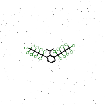 C[C](C)c1c(C(Cl)(Cl)C(Cl)(Cl)C(Cl)(Cl)C(Cl)(Cl)Cl)cccc1C(Cl)(Cl)C(Cl)(Cl)C(Cl)(Cl)C(Cl)(Cl)Cl